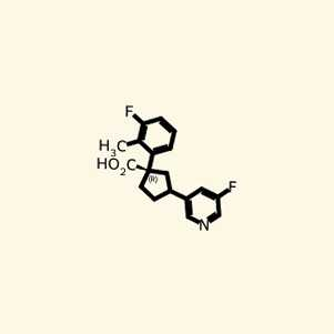 Cc1c(F)cccc1[C@@]1(C(=O)O)CCC(c2cncc(F)c2)C1